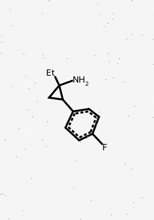 CCC1(N)CC1c1ccc(F)cc1